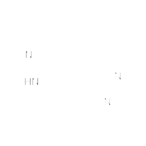 c1nncc2[nH]ncc12